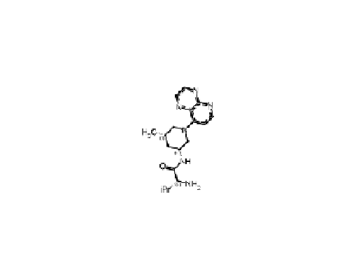 CC(C)[C@@H](N)C(=O)N[C@@H]1C[C@H](C)CN(c2ccnc3nccnc23)C1